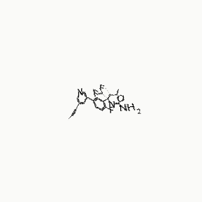 CC#Cc1cncc(-c2ccc(F)c([C@]3(C(F)F)N=C(N)OC(C)[C@H]3C)c2)c1